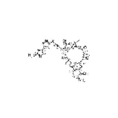 CC[C@H]1OC(=O)[C@@](C)(F)C(=O)[C@H](C)[C@@H](O[C@@H]2O[C@H](C)CC(N)C2O)[C@](C)(OC)C[C@@H](C)C(=O)[C@H](C)[C@H]2N(CC#CCn3cc(-c4cnc(N)s4)nn3)C(=O)O[C@]12C